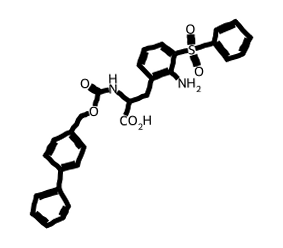 Nc1c(CC(NC(=O)OCc2ccc(-c3ccccc3)cc2)C(=O)O)cccc1S(=O)(=O)c1ccccc1